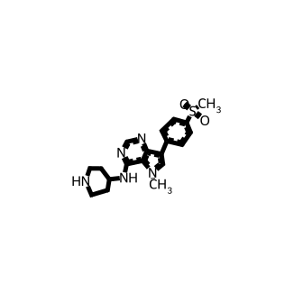 Cn1cc(-c2ccc(S(C)(=O)=O)cc2)c2ncnc(NC3CCNCC3)c21